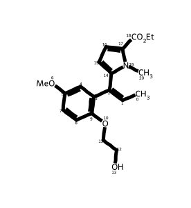 C/C=C(/c1cc(OC)ccc1OCCO)c1ccc(C(=O)OCC)n1C